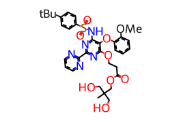 COc1ccccc1Oc1c(NS(=O)(=O)c2ccc(C(C)(C)C)cc2)nc(-c2ncccn2)nc1OCCC(=O)OCC(C)(CO)CO